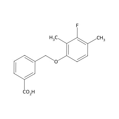 Cc1ccc(OCc2cccc(C(=O)O)c2)c(C)c1F